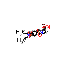 CCCN(CCC)S(=O)(=O)c1ccc(S(=O)(=O)N2CCC[C@@H](C(=O)O)C2)cc1